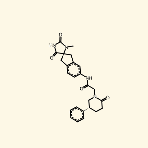 CN1C(=O)NC(=O)[C@]12Cc1ccc(NC(=O)CN3C[C@@H](c4ccccc4)CCC3=O)cc1C2